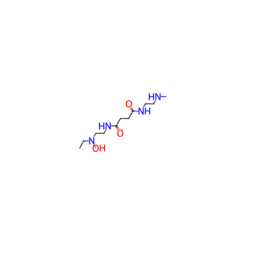 CCN(O)CCNC(=O)CCC(=O)NCCNC